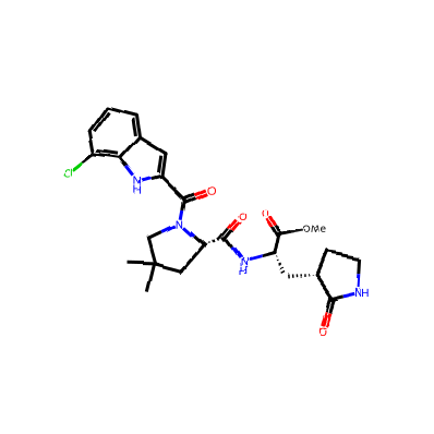 COC(=O)[C@H](C[C@@H]1CCNC1=O)NC(=O)[C@@H]1CC(C)(C)CN1C(=O)c1cc2cccc(Cl)c2[nH]1